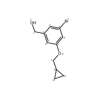 OCc1cc(Br)cc(OCC2CC2)c1